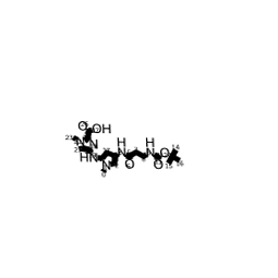 CN1CC(NC(=O)CCNC(=O)OC(C)(C)C)CC1Nc1cn(C)c(C(=O)O)n1